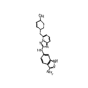 Nc1n[nH]c2cc(Nc3nc4cccc(CC5CCC(O)CC5)n4n3)ccc12